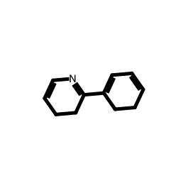 C1=CCCC(C2=NC=CCC2)=C1